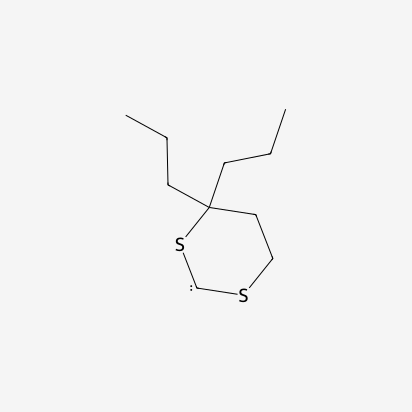 CCCC1(CCC)CCS[C]S1